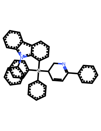 C1=CC([Si](c2ccccc2)(c2ccccc2)c2cccc3c4ccccc4n(-c4ccccc4)c23)CN=C1c1ccccc1